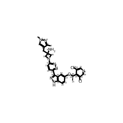 Cc1nn(C)cc1CC1(N)CN(c2ccc(-c3n[nH]c4ccc(O[C@H](C)c5c(Cl)cncc5Cl)cc34)nn2)C1